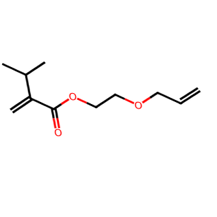 C=CCOCCOC(=O)C(=C)C(C)C